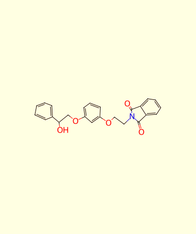 O=C1c2ccccc2C(=O)N1CCOc1cccc(OCC(O)c2ccccc2)c1